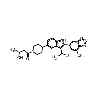 Cc1cc(-c2[nH]c3ccc(C4CCN(C(=O)C[C@H](C)O)CC4)cc3c2C(C)C)cn2nnnc12